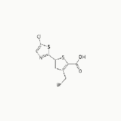 O=C(O)c1sc(-c2ncc(Cl)s2)cc1CBr